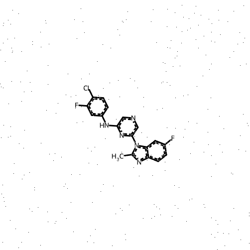 Cc1nc2ccc(F)cc2n1-c1cncc(Nc2ccc(Cl)c(F)c2)n1